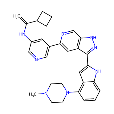 C=C(Nc1cncc(-c2cc3c(-c4cc5c(N6CCN(C)CC6)cccc5[nH]4)n[nH]c3cn2)c1)C1CCC1